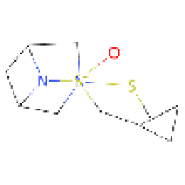 CSN1CC2CC(C1)N2[S+]([O-])CC1CC1